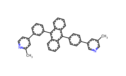 Cc1cncc(-c2ccc(-c3c4ccccc4c(-c4cccc(-c5ccnc(C)c5)c4)c4ccccc34)cc2)c1